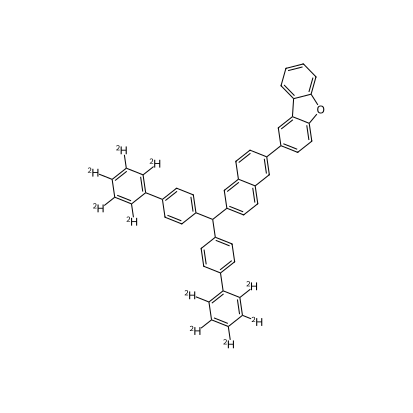 [2H]c1c([2H])c([2H])c(-c2ccc(C(c3ccc(-c4c([2H])c([2H])c([2H])c([2H])c4[2H])cc3)c3ccc4cc(-c5ccc6oc7ccccc7c6c5)ccc4c3)cc2)c([2H])c1[2H]